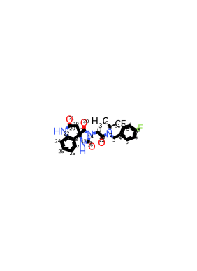 C[C@H](N(Cc1ccc(F)cc1)C(=O)CN1C(=O)NC2(CC(=O)Nc3ccccc32)C1=O)C(F)(F)F